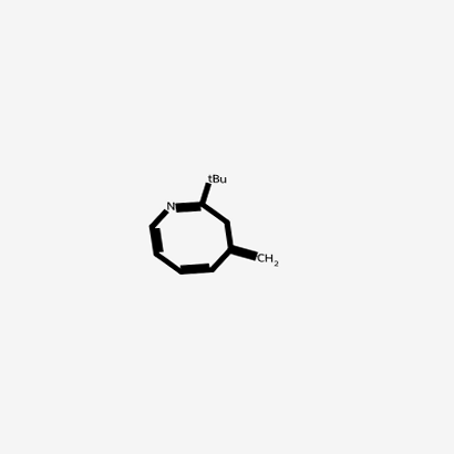 C=C1\C=C/C=C\N=C(\C(C)(C)C)C1